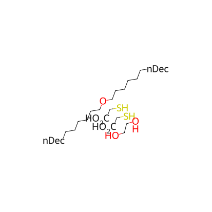 CCCCCCCCCCCCCCCCOCCCCCCCCCCCCCCCC.O=C(O)CS.O=C(O)CS.OCCO